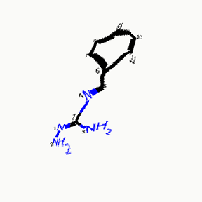 N/N=C(N)/N=C/c1ccccc1